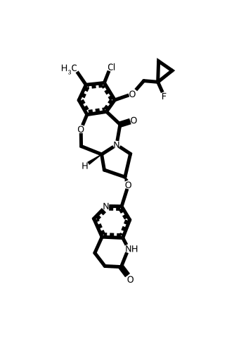 Cc1cc2c(c(OCC3(F)CC3)c1Cl)C(=O)N1C[C@@H](Oc3cc4c(cn3)CCC(=O)N4)C[C@@H]1CO2